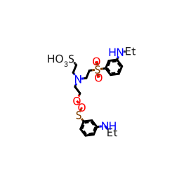 CCNc1cccc(SOOCCN(CCS(=O)(=O)O)CCS(=O)(=O)c2cccc(NCC)c2)c1